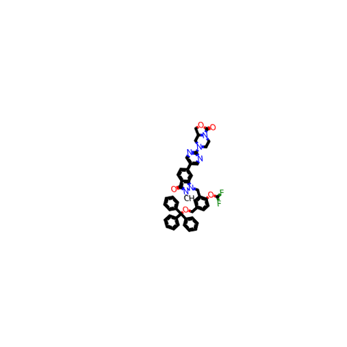 Cn1c(=O)c2ccc(-c3cnc(N4CCN5C(=O)OCC5C4)nc3)cc2n1Cc1cc(COC(c2ccccc2)(c2ccccc2)c2ccccc2)ccc1OC(F)F